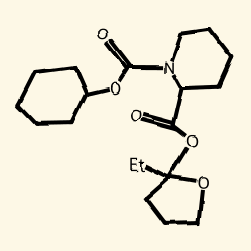 CCC1(OC(=O)C2CCCCN2C(=O)OC2CCCCC2)CCCO1